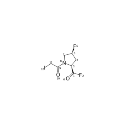 O=C(F)[C@@H]1C[C@H](F)CN1C(=O)CI